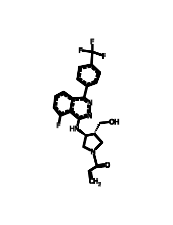 C=CC(=O)N1C[C@@H](CO)[C@H](Nc2nnc(-c3ccc(C(F)(F)F)cc3)c3cccc(F)c23)C1